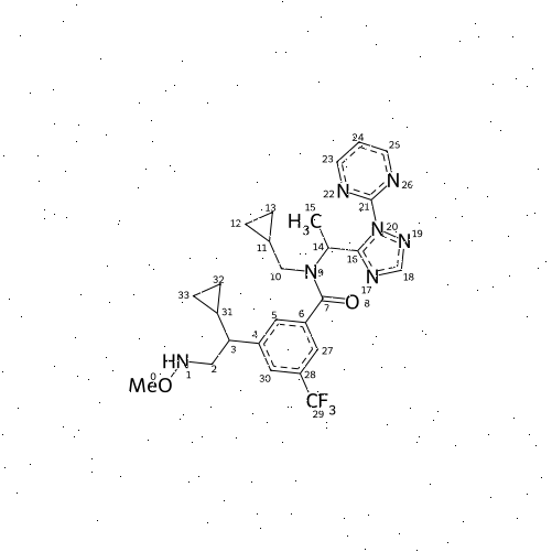 CONCC(c1cc(C(=O)N(CC2CC2)C(C)c2ncnn2-c2ncccn2)cc(C(F)(F)F)c1)C1CC1